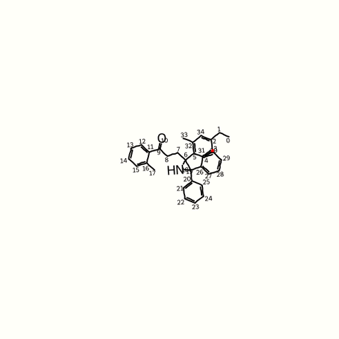 CCc1ccc(C2(CCC(=O)c3ccccc3C)NC2(c2ccccc2)c2ccccc2)c(C)c1